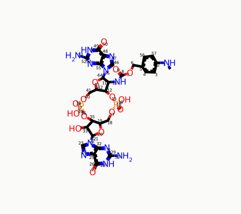 CNc1ccc(COC(=O)NC2C3OP(=O)(O)OCC4OC(n5cnc6c(=O)[nH]c(N)nc65)C(O)C4OP(=O)(O)OCC3OC2n2cnc3c(=O)[nH]c(N)nc32)cc1